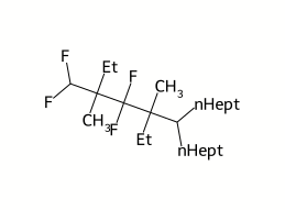 CCCCCCCC(CCCCCCC)C(C)(CC)C(F)(F)C(C)(CC)C(F)F